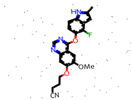 COc1cc2c(Oc3ccc4[nH]c(C)cc4c3F)ncnc2cc1OCCCC#N